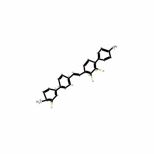 CCCc1ccc(-c2ccc(/C=C/c3ccc(-c4ccc(C)c(F)c4)cc3)c(F)c2F)cc1